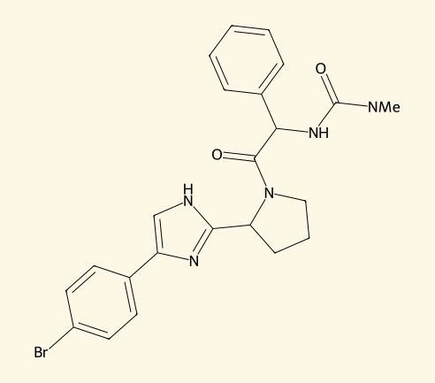 CNC(=O)NC(C(=O)N1CCCC1c1nc(-c2ccc(Br)cc2)c[nH]1)c1ccccc1